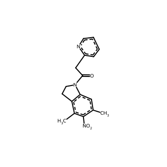 Cc1cc2c(c(C)c1[N+](=O)[O-])CCN2C(=O)Cc1ccccn1